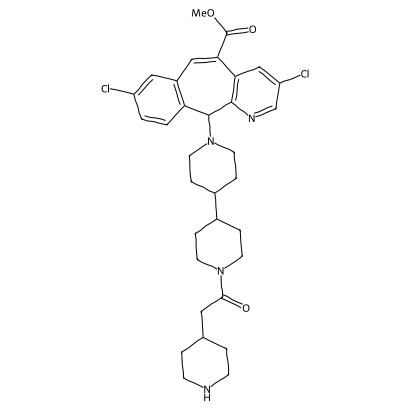 COC(=O)C1=Cc2cc(Cl)ccc2C(N2CCC(C3CCN(C(=O)CC4CCNCC4)CC3)CC2)c2ncc(Cl)cc21